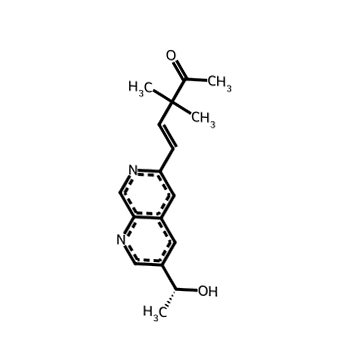 CC(=O)C(C)(C)/C=C/c1cc2cc([C@@H](C)O)cnc2cn1